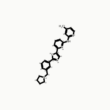 Cc1ccnc(Nc2cccc(-c3cnc(-c4cccc(CN5CCCC5)c4)o3)n2)c1